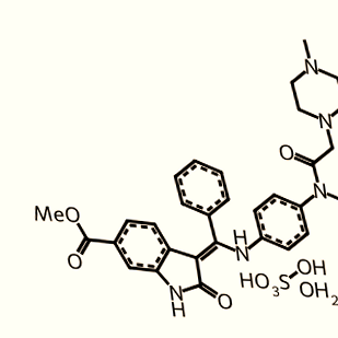 COC(=O)c1ccc2c(c1)NC(=O)/C2=C(\Nc1ccc(N(C)C(=O)CN2CCN(C)CC2)cc1)c1ccccc1.O.O=S(=O)(O)O